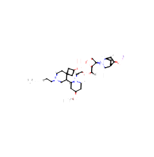 COCCN1CCC2(CC(O)C2)C(C2CC(OC(C)C)CCN2CCOC(C)C2OCC2N2CC3CC2CC3OI)C1